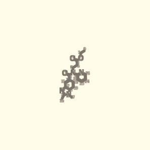 CCOC(=O)CCN(C(=O)C1=CC2N=C(C)N(C)C2C=C1)c1ccccn1